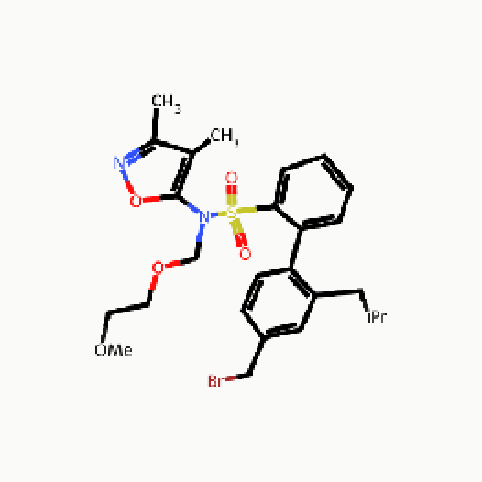 COCCOCN(c1onc(C)c1C)S(=O)(=O)c1ccccc1-c1ccc(CBr)cc1CC(C)C